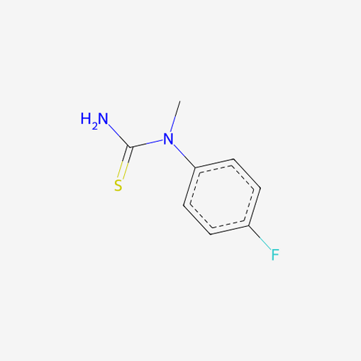 CN(C(N)=S)c1ccc(F)cc1